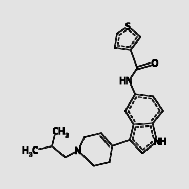 CC(C)CN1CC=C(c2c[nH]c3ccc(NC(=O)c4ccsc4)cc23)CC1